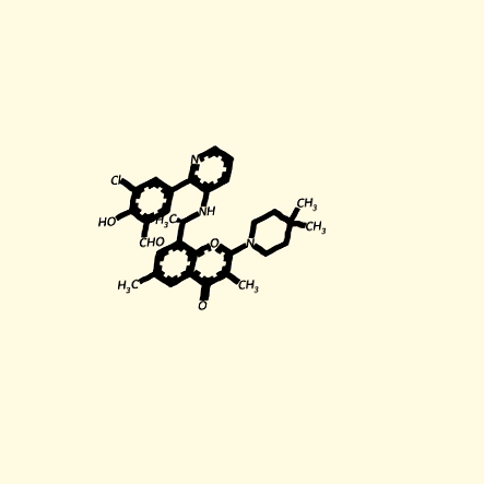 Cc1cc([C@@H](C)Nc2cccnc2-c2cc(Cl)c(O)c(C=O)c2)c2oc(N3CCC(C)(C)CC3)c(C)c(=O)c2c1